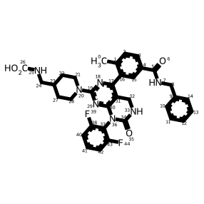 Cc1ccc(C(=O)NCc2ccccc2)cc1-c1nc(N2CCC(CNC(=O)O)CC2)nc2c1CNC(=O)N2c1c(F)cccc1F